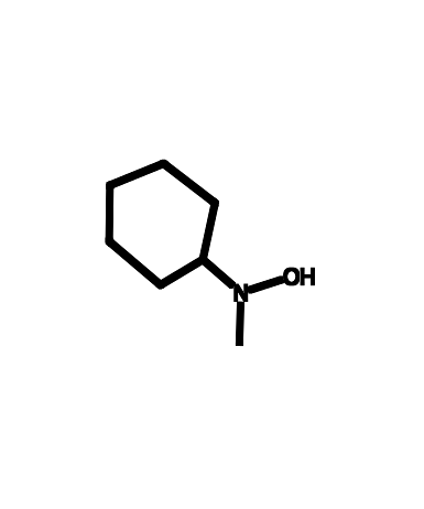 CN(O)C1CCCCC1